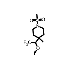 CC1(C(OI)C(F)(F)F)CCN(S(C)(=O)=O)CC1